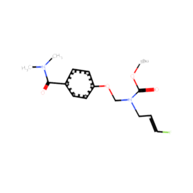 CN(C)C(=O)c1ccc(OCN(CC=CF)C(=O)OC(C)(C)C)cc1